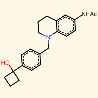 CC(=O)Nc1ccc2c(c1)CCCN2Cc1ccc(C2(O)CCC2)cc1